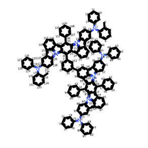 Cc1ccccc1N(c1ccccc1)c1ccc2c(c1)c1cccc3c4c(-c5cccc(-c6cc7c8cc(N(c9ccccc9)c9ccccc9)ccc8n8c9c(-c%10ccccc%10)c%10c%11cccc%12c%13cc(N(c%14ccccc%14)c%14ccccc%14)ccc%13n(c%10c(-c%10ccccc%10)c9c(c6)c78)c%12%11)c5)c5c(c(-c6ccccc6)c4n2c13)c1cccc2c3cc(N(c4ccccc4)c4ccccc4C)ccc3n5c21